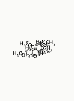 COc1cc(OC)c2c(c1)OC[C@@H]1[C@@]3(C)CCCC(C)(C)[C@@H]3CC[C@@]21C